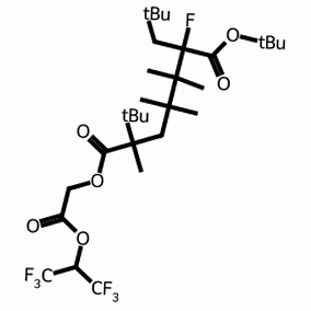 CC(C)(C)CC(F)(C(=O)OC(C)(C)C)C(C)(C)C(C)(C)CC(C)(C(=O)OCC(=O)OC(C(F)(F)F)C(F)(F)F)C(C)(C)C